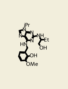 CCC(CO)Nc1nc(NCc2cccc(OC)c2O)c2ncn(C(C)C)c2n1